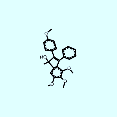 COc1ccc(C2=C(c3ccccc3)c3c(cc(OC)c(OC)c3OC)C2(C)O)cc1